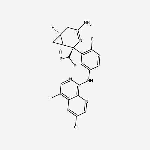 NC1=N[C@@](c2cc(Nc3ncc(F)c4cc(Cl)cnc34)ccc2F)(C(F)F)[C@H]2C[C@H]2C1